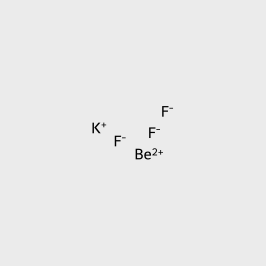 [Be+2].[F-].[F-].[F-].[K+]